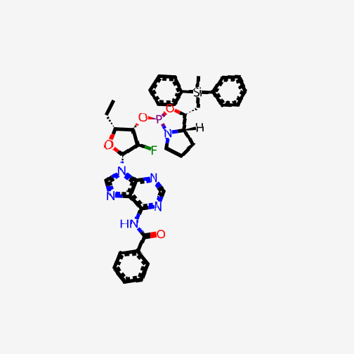 CC[C@H]1O[C@@H](n2cnc3c(NC(=O)c4ccccc4)ncnc32)C(F)[C@H]1O[P@@]1O[C@H](C[Si](C)(c2ccccc2)c2ccccc2)[C@@H]2CCCN21